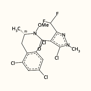 CON(C(=O)c1c(C(F)F)nn(C)c1Cl)[C@@H](C)Cc1c(Cl)cc(Cl)cc1Cl